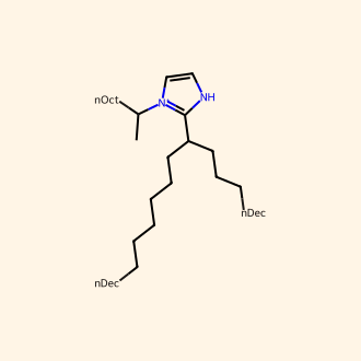 CCCCCCCCCCCCCCCCC(CCCCCCCCCCCCC)c1[nH]cc[n+]1C(C)CCCCCCCC